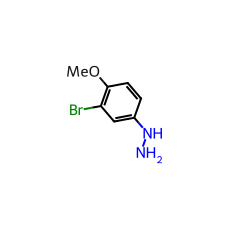 COc1ccc(NN)cc1Br